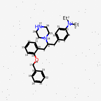 CCN(CC)c1ccc(CC(Cc2ccccc2OCc2ccccc2)N2CCNCC2)cc1